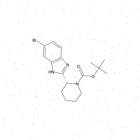 CC(C)(C)OC(=O)N1CCCC[C@@H]1c1nc2ccc(Br)cc2[nH]1